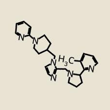 Cc1cccnc1C1CCCN1Cc1nccn1CC1CCN(c2ccccn2)CC1